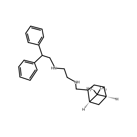 CC1(C)[C@H]2CCC(CNCCNCC(c3ccccc3)c3ccccc3)[C@@H]1C2